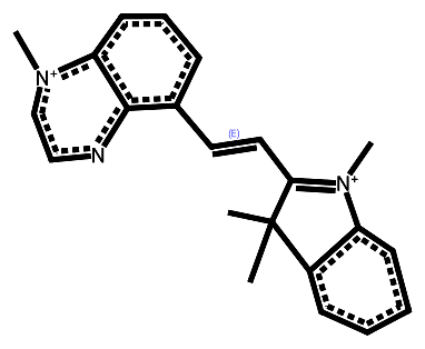 C[N+]1=C(/C=C/c2cccc3c2ncc[n+]3C)C(C)(C)c2ccccc21